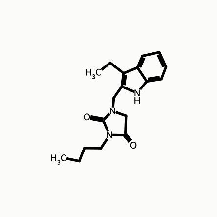 CCCCN1C(=O)CN(Cc2[nH]c3ccccc3c2CC)C1=O